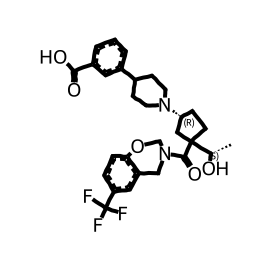 C[C@H](O)C1(C(=O)N2COc3ccc(C(F)(F)F)cc3C2)CC[C@@H](N2CCC(c3cccc(C(=O)O)c3)CC2)C1